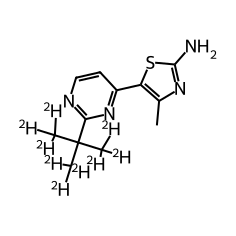 [2H]C([2H])([2H])C(c1nccc(-c2sc(N)nc2C)n1)(C([2H])([2H])[2H])C([2H])([2H])[2H]